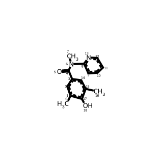 Cc1cc(C(=O)N(C)c2ccccn2)cc(C)c1O